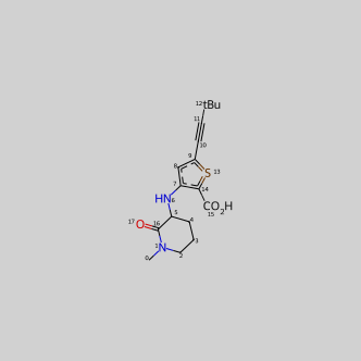 CN1CCCC(Nc2cc(C#CC(C)(C)C)sc2C(=O)O)C1=O